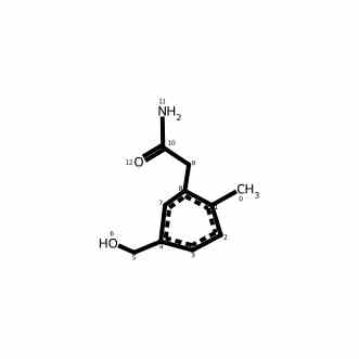 Cc1ccc(CO)cc1CC(N)=O